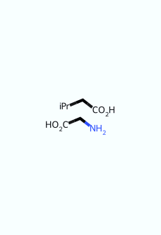 CC(C)CC(=O)O.NCC(=O)O